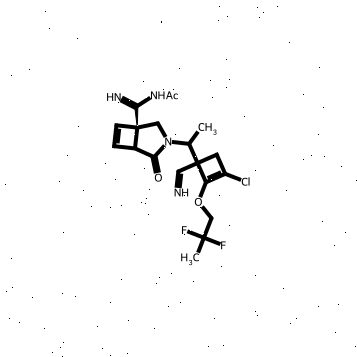 CC(=O)NC(=N)[C@]12C=CC1C(=O)N(C(C)C1(C=N)CC(Cl)=C1OCC(C)(F)F)C2